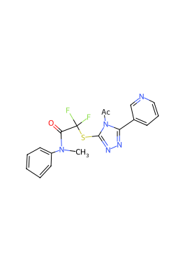 CC(=O)n1c(SC(F)(F)C(=O)N(C)c2ccccc2)nnc1-c1cccnc1